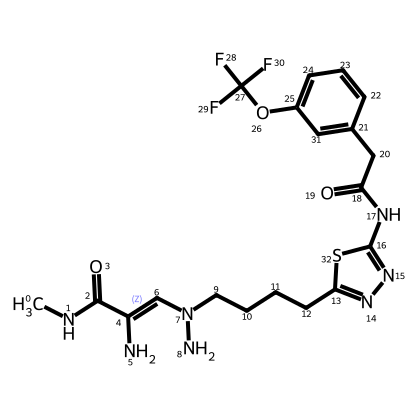 CNC(=O)/C(N)=C/N(N)CCCCc1nnc(NC(=O)Cc2cccc(OC(F)(F)F)c2)s1